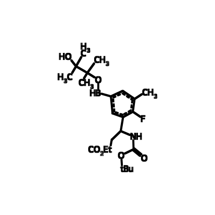 CCOC(=O)CC(NC(=O)OC(C)(C)C)c1cc(BOC(C)(C)C(C)(C)O)cc(C)c1F